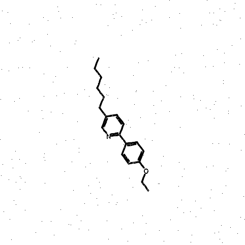 CCCCCCc1ccc(-c2ccc(OCC)cc2)nc1